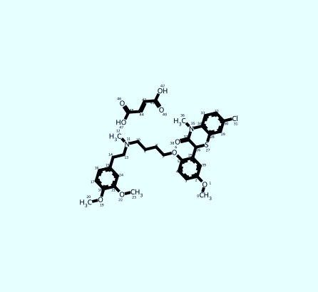 COc1ccc(OCCCCN(C)CCc2ccc(OC)c(OC)c2)c(C2Sc3cc(Cl)ccc3N(C)C2=O)c1.O=C(O)C=CC(=O)O